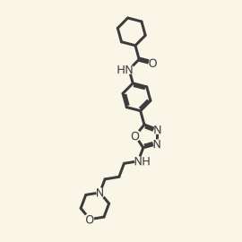 O=C(Nc1ccc(-c2nnc(NCCCN3CCOCC3)o2)cc1)C1CCCCC1